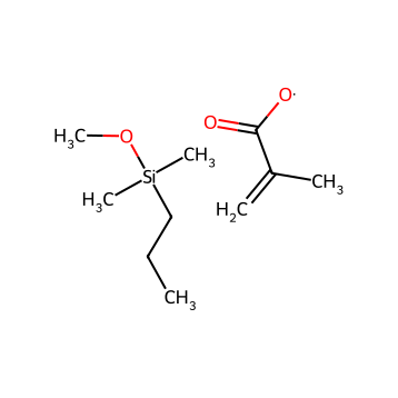 C=C(C)C([O])=O.CCC[Si](C)(C)OC